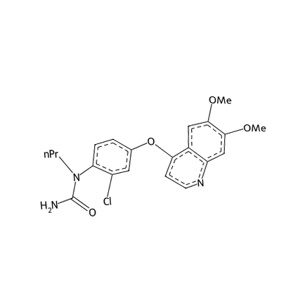 CCCN(C(N)=O)c1ccc(Oc2ccnc3cc(OC)c(OC)cc23)cc1Cl